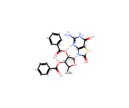 CC(=O)OC1O[C@@H](n2c(=O)sc3c(=O)[nH]c(N)nc32)[C@H](OC(=O)c2ccccc2)[C@@H]1OC(=O)c1ccccc1